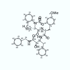 COc1ccc(C[C@H](NC(=O)[C@H](C)N(c2ccccc2C)[SH](=O)=O)C(=O)NC(Cc2ccccc2)C(O)C(=O)NCc2ccccc2)cc1